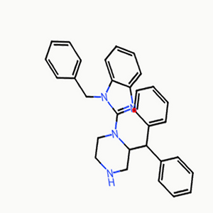 c1ccc(Cn2c(N3CCNCC3C(c3ccccc3)c3ccccc3)nc3ccccc32)cc1